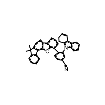 CC1(C)c2ccccc2-c2c1ccc1c2oc2c(-c3ccc(C#N)cc3-n3c4c(c5ccccc53)C=CCC4)cccc21